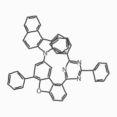 c1ccc(-c2nc(-c3ccccc3)nc(-c3cccc4oc5c(-c6ccccc6)cc(-n6c7ccccc7c7c8ccccc8ccc76)cc5c34)n2)cc1